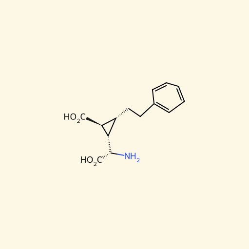 N[C@H](C(=O)O)[C@H]1[C@@H](CCc2ccccc2)[C@@H]1C(=O)O